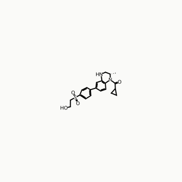 C[C@H]1CNc2cc(-c3ccc(S(=O)(=O)CCO)cc3)ccc2N1C(=O)C1CC1